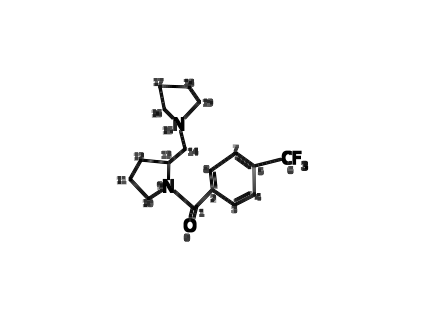 O=C(c1ccc(C(F)(F)F)cc1)N1CCCC1CN1CCCC1